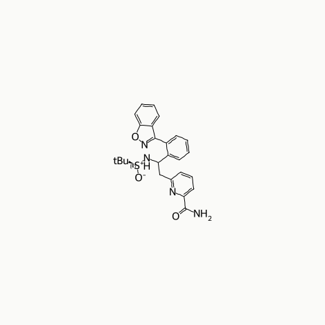 CC(C)(C)[S@+]([O-])NC(Cc1cccc(C(N)=O)n1)c1ccccc1-c1noc2ccccc12